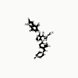 CCN(C)C(=O)c1c(NC2CC=C(CN3CCN(C)CC3)C=N2)ncnc1Oc1cc(F)c2[nH]c(C)cc2c1F